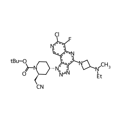 CCN(C)C1CN(c2nc3c(F)c(Cl)ncc3c3c2nnn3[C@H]2CCN(C(=O)OC(C)(C)C)[C@H](CC#N)C2)C1